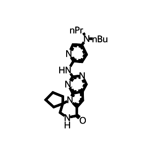 CCCCN(CCC)c1ccc(Nc2ncc3cc4n(c3n2)C2(CCCC2)CNC4=O)nc1